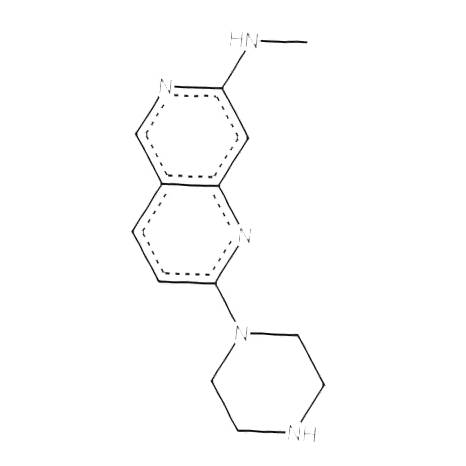 CNc1cc2nc(N3CCNCC3)ccc2cn1